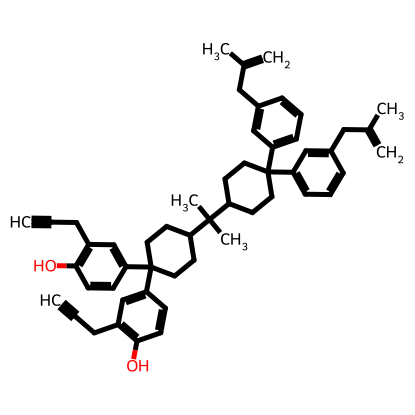 C#CCc1cc(C2(c3ccc(O)c(CC#C)c3)CCC(C(C)(C)C3CCC(c4cccc(CC(=C)C)c4)(c4cccc(CC(=C)C)c4)CC3)CC2)ccc1O